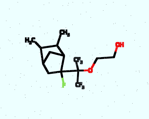 CC1C2CC(C1C)C(F)(C(OCCO)(C(F)(F)F)C(F)(F)F)C2